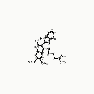 COc1cc2[nH]c(=O)c(-c3nc4ccccc4[nH]3)c(NCCCN3CCCC3)c2cc1OC